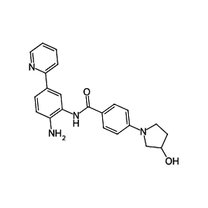 Nc1ccc(-c2ccccn2)cc1NC(=O)c1ccc(N2CCC(O)C2)cc1